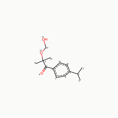 CC(C)c1ccc(C(=O)C(C)(C)OCO)cc1